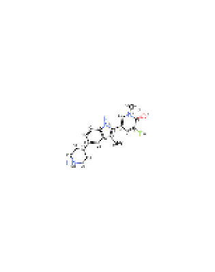 CC(C)c1c(-c2cc(F)c(=O)n(C)c2)[nH]c2ccc(C3CCNCC3)cc12